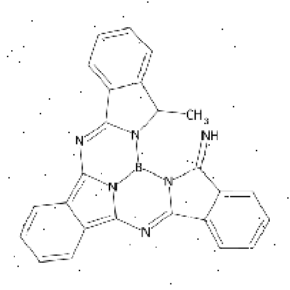 CC1c2ccccc2C2=Nc3c4ccccc4c4n3B(N3C(=N)c5ccccc5C3=N4)N21